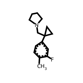 Cc1ccc(C2(CN3CCCC3)CC2)cc1F